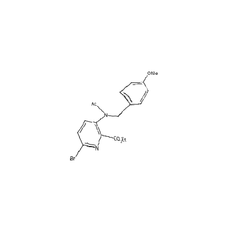 CCOC(=O)c1nc(Br)ccc1N(Cc1ccc(OC)cc1)C(C)=O